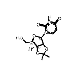 CC1(C)OC2[C@@H](O1)[C@@H](CO)O[C@H]2n1ccc(=O)[nH]c1=O